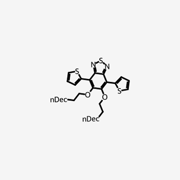 CCCCCCCCCCCCOc1c(OCCCCCCCCCCCC)c(-c2cccs2)c2nsnc2c1-c1cccs1